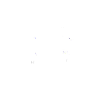 Cc1cccc(C)c1-c1c(N)c(C(N)=O)cc2nccnc12